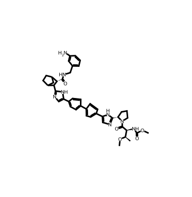 COC(=O)N[C@H](C(=O)N1CCC[C@H]1c1ncc(-c2ccc(-c3ccc(-c4cnc(C5C6CCC(C6)[C@@H]5C(=O)NCc5cccc(N)c5)[nH]4)cc3)cc2)[nH]1)[C@@H](C)OC